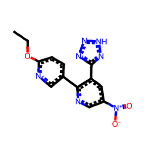 CCOc1ccc(-c2ncc([N+](=O)[O-])cc2-c2nn[nH]n2)cn1